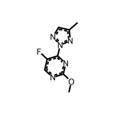 COc1ncc(F)c(-n2ncc(C)n2)n1